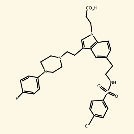 O=C(O)CCn1cc(CCN2CCN(c3ccc(F)cc3)CC2)c2cc(CCNS(=O)(=O)c3ccc(Cl)cc3)ccc21